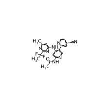 CC(=O)Nc1cc(Nc2cc(C)nc(C(C)(F)F)n2)c(-c2cc(C#N)ccn2)cn1